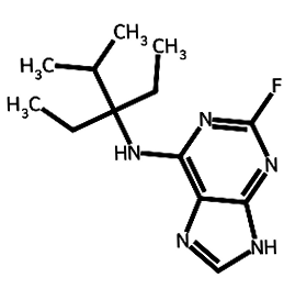 CCC(CC)(Nc1nc(F)nc2[nH]cnc12)C(C)C